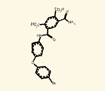 CC(C)c1ccc(Oc2ccc(NC(=O)c3cc(C(N)=O)c(C(=O)O)cc3C(=O)O)cc2)cc1